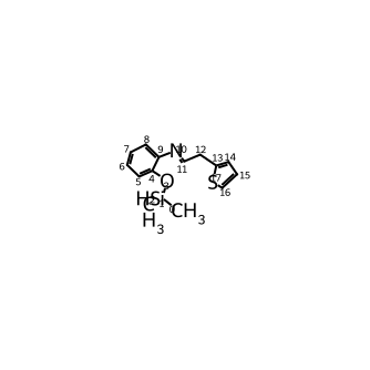 C[SiH](C)Oc1ccccc1N=CCc1cccs1